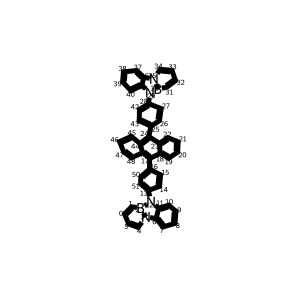 C1=CB2N(C=C1)c1ccccc1N2c1ccc(-c2c3ccccc3c(-c3ccc(N4B5C=CC=CN5c5ccccc54)cc3)c3ccccc23)cc1